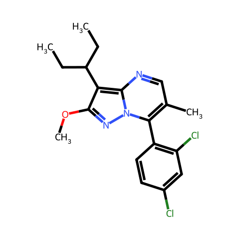 CCC(CC)c1c(OC)nn2c(-c3ccc(Cl)cc3Cl)c(C)cnc12